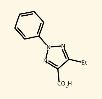 CCc1nn(-c2ccccc2)nc1C(=O)O